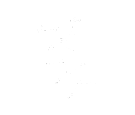 CCCCOP(=O)(OCC)OC(F)C(F)(F)C(F)F